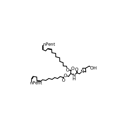 CCCCC/C=C\C/C=C\CCCCCCCCOC(=O)C(COC(=O)CCCCCCC/C=C\C/C=C\CCCCC)NC(=O)CN1CC(CO)C1